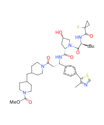 COC(=O)N1CCC(CC2CCN(C(=O)C[C@H](NC(=O)[C@@H]3C[C@@H](O)CN3C(=O)[C@@H](NC(=O)C3(F)CC3)C(C)(C)C)c3ccc(-c4scnc4C)cc3)CC2)CC1